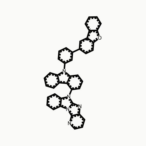 c1cc(-c2ccc3oc4ccccc4c3c2)cc(-n2c3ccccc3c3c(-n4c5ccccc5n5c6ncccc6nc45)cccc32)c1